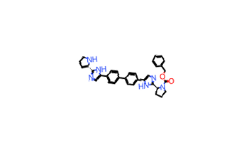 O=C(OCc1ccccc1)N1CCC[C@H]1c1ncc(-c2ccc(-c3ccc(-c4cnc([C@@H]5CCCN5)[nH]4)cc3)cc2)[nH]1